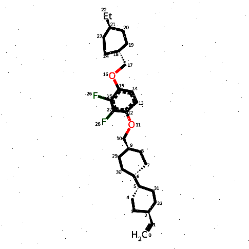 C=C[C@H]1CC[C@H]([C@H]2CC[C@H](COc3ccc(OC[C@H]4CC[C@H](CC)CC4)c(F)c3F)CC2)CC1